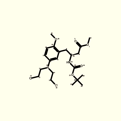 COC(=O)C[C@H](Cc1cc(N(CCCl)CCCl)ccc1OC)NC(=O)OC(C)(C)C